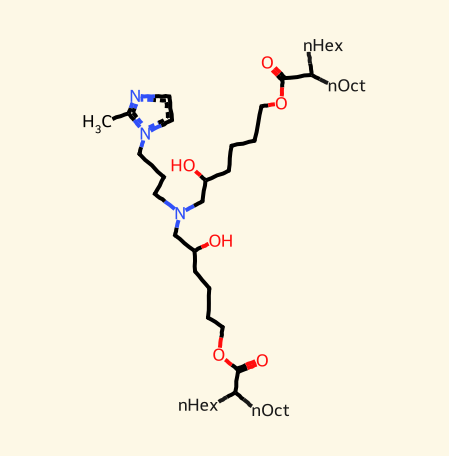 CCCCCCCCC(CCCCCC)C(=O)OCCCCC(O)CN(CCCn1ccnc1C)CC(O)CCCCOC(=O)C(CCCCCC)CCCCCCCC